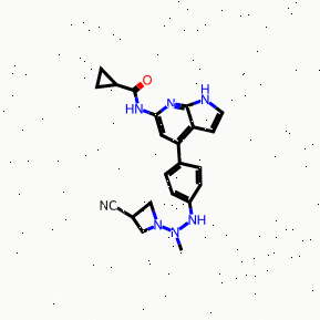 CN(Nc1ccc(-c2cc(NC(=O)C3CC3)nc3[nH]ccc23)cc1)N1CC(C#N)C1